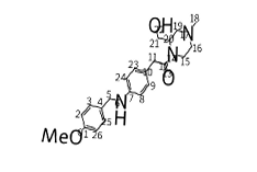 COc1ccc(CNc2ccc(CC(=O)N3CCN(C)CC3CO)cc2)cc1